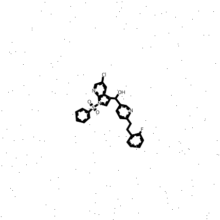 O=S(=O)(c1ccccc1)n1cc(C(O)c2ccc(CCc3ccccc3F)nc2)c2cc(Cl)cnc21